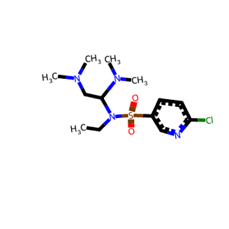 CCN(C(CN(C)C)N(C)C)S(=O)(=O)c1ccc(Cl)nc1